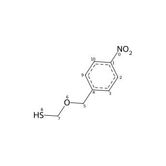 O=[N+]([O-])c1ccc(COCS)cc1